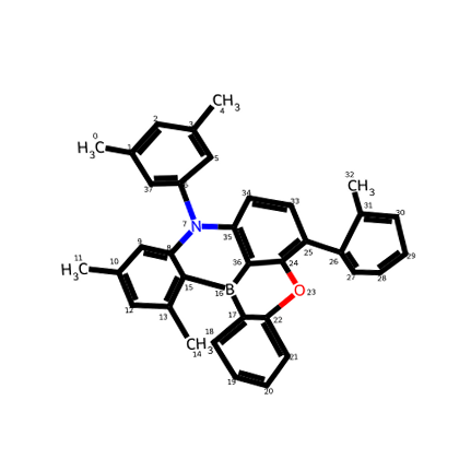 Cc1cc(C)cc(N2c3cc(C)cc(C)c3B3c4ccccc4Oc4c(-c5ccccc5C)ccc2c43)c1